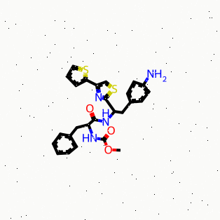 COC(=O)NC(Cc1ccccc1)C(=O)NC(Cc1ccc(N)cc1)c1nc(-c2cccs2)cs1